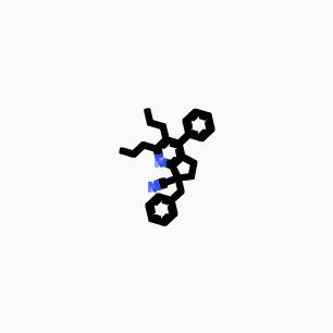 CCCc1nc2c(c(-c3ccccc3)c1CCC)CCC2(C#N)Cc1ccccc1